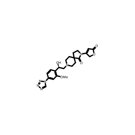 COc1cc(-n2cnnn2)ccc1[C@@H](O)CN1CCC2(CC1)CCN(C1=CC(=O)OC1)C2=O